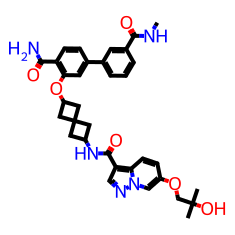 CNC(=O)c1cccc(-c2ccc(C(N)=O)c(OC3CC4(CC(NC(=O)c5cnn6cc(OCC(C)(C)O)ccc56)C4)C3)c2)c1